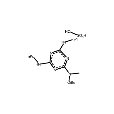 CCCNc1nc(NCCC)nc(N(C)OCC(C)C)n1.O=S(=O)(O)O